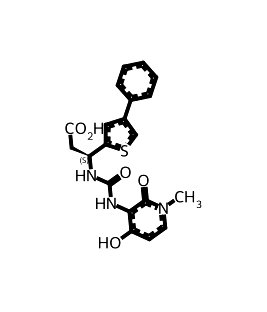 Cn1ccc(O)c(NC(=O)N[C@@H](CC(=O)O)c2cc(-c3ccccc3)cs2)c1=O